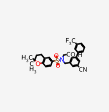 CC1(C)CCc2cc(S(=O)(=O)N(CC(=O)O)Cc3cc(C#N)cc(-c4cccc(C(F)(F)F)c4)c3)ccc2O1